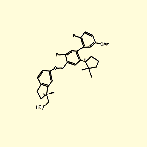 COc1ccc(F)c(-c2cc(F)c(COc3ccc4c(c3)[C@](C)(CC(=O)O)CC4)cc2[C@@H]2CCCC2(C)C)c1